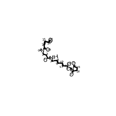 CN(CCC(=O)NCCCCCC(=O)ON1C(=O)CCC1=O)C(=O)/C=C\C=O